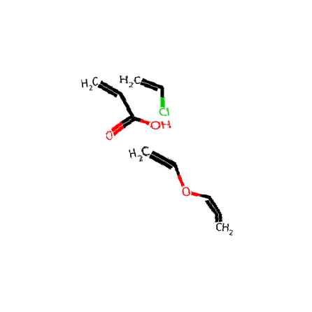 C=CC(=O)O.C=CCl.C=COC=C